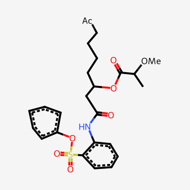 COC(C)C(=O)OC(CCCCC(C)=O)CC(=O)Nc1ccccc1S(=O)(=O)Oc1ccccc1